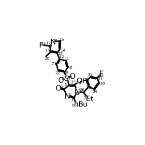 CCCCc1nc(=O)c(S(=O)(=O)c2ccc(-c3ccnc(F)c3C)cc2)c(O)n1C(CC)c1ccc(F)cc1